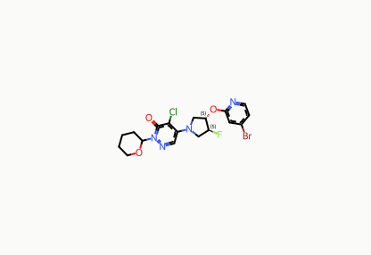 O=c1c(Cl)c(N2C[C@H](Oc3cc(Br)ccn3)[C@@H](F)C2)cnn1C1CCCCO1